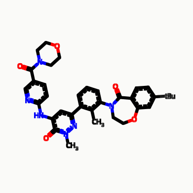 Cc1c(-c2cc(Nc3ccc(C(=O)N4CCOCC4)cn3)c(=O)n(C)n2)cccc1N1CCOc2cc(C(C)(C)C)ccc2C1=O